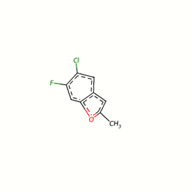 Cc1cc2cc(Cl)c(F)cc2o1